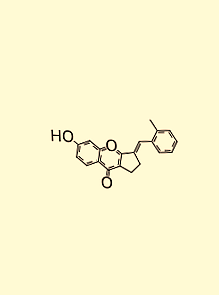 Cc1ccccc1C=C1CCc2c1oc1cc(O)ccc1c2=O